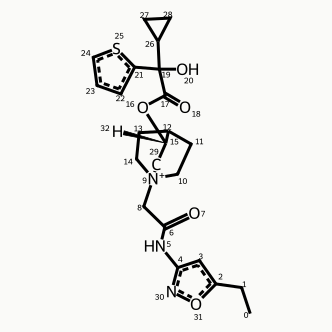 CCc1cc(NC(=O)C[N+]23CCC(CC2)[C@@H](OC(=O)C(O)(c2cccs2)C2CC2)C3)no1